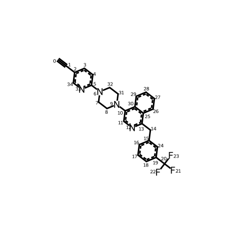 C#Cc1ccc(N2CCN(c3cnc(Cc4cccc(C(F)(F)F)c4)c4ccccc34)CC2)nc1